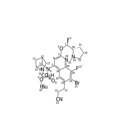 C[C@H](Oc1cc(N(C(=O)OC(C)(C)C)C2C3CC2N(C(=O)O)C3)c2cc(CCC#N)c(Br)c(F)c2n1)[C@@H]1CCCN1C